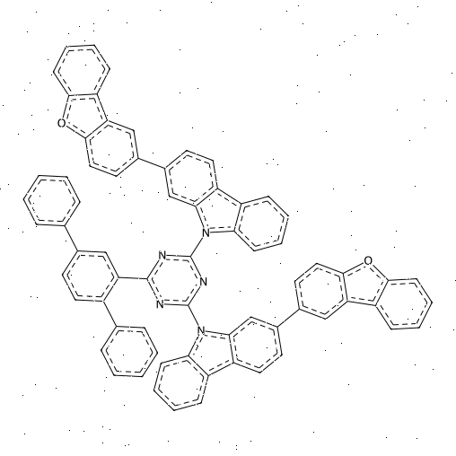 c1ccc(-c2ccc(-c3ccccc3)c(-c3nc(-n4c5ccccc5c5ccc(-c6ccc7oc8ccccc8c7c6)cc54)nc(-n4c5ccccc5c5ccc(-c6ccc7oc8ccccc8c7c6)cc54)n3)c2)cc1